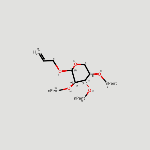 C=CCO[C@H]1OC[C@@H](OCCCCC)[C@H](OCCCCC)[C@H]1OCCCCC